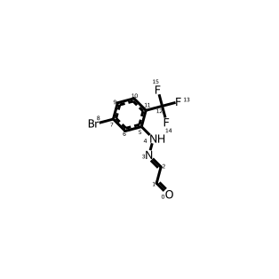 O=CC=NNc1cc(Br)ccc1C(F)(F)F